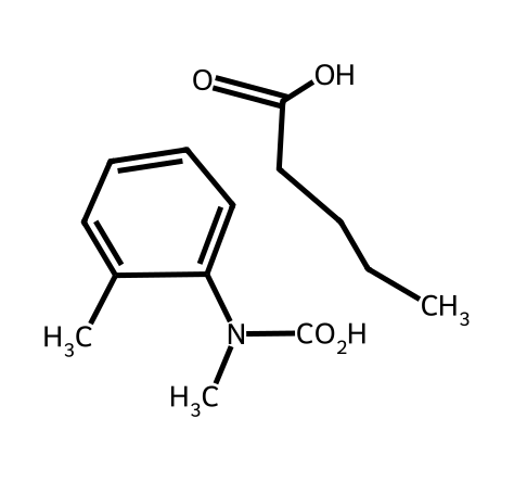 CCCCC(=O)O.Cc1ccccc1N(C)C(=O)O